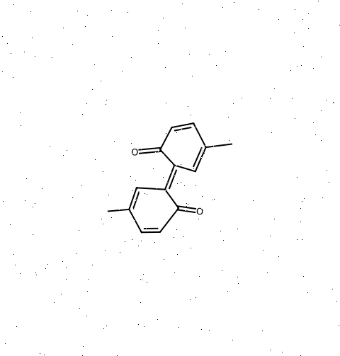 CC1=C/C(=C2/C=C(C)C=CC2=O)C(=O)C=C1